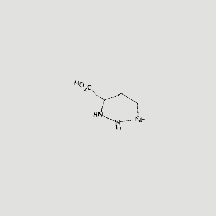 O=C(O)C1CCNNN1